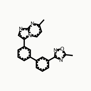 Cc1ccn2c(-c3cccc(-c4cccc(-c5noc(C)n5)c4)c3)cnc2n1